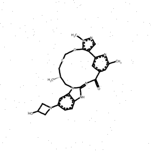 Cc1cc2cc(n1)-c1cnn(C)c1OCCC[C@@H](C)CN1/C(=N/C2=O)Nc2ccc(N3CC(O)C3)cc21